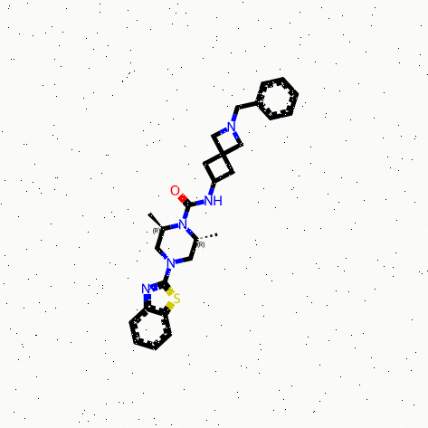 C[C@@H]1CN(c2nc3ccccc3s2)C[C@@H](C)N1C(=O)NC1CC2(C1)CN(Cc1ccccc1)C2